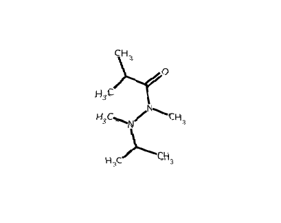 CC(C)C(=O)N(C)N(C)C(C)C